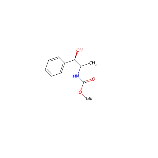 CC(NC(=O)OC(C)(C)C)[C@H](O)c1ccccc1